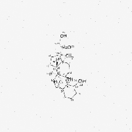 C[C@]12CC[C@H]3[C@@H](CC=C4CCCC(O)[C@@]43C)[C@@H]1CC[C@@H]2C(=O)CO